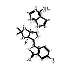 CC1(C)O[C@@H]2[C@@H]([C@@H]3OC(=O)c4cc(Cl)ccc43)C[C@@H](n3ccc4c(N)ncnc43)[C@@H]2O1